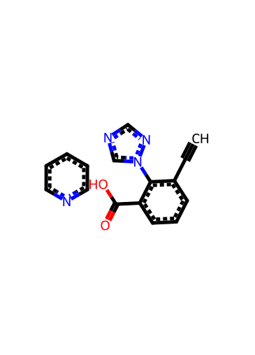 C#Cc1cccc(C(=O)O)c1-n1cncn1.c1ccncc1